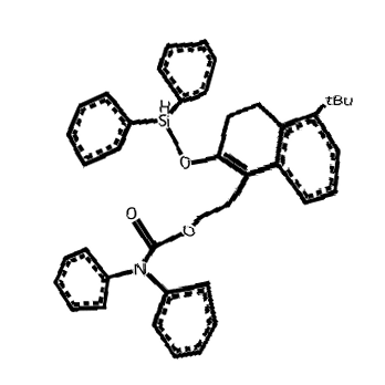 CC(C)(C)c1cccc2c1CCC(O[SiH](c1ccccc1)c1ccccc1)=C2CCOC(=O)N(c1ccccc1)c1ccccc1